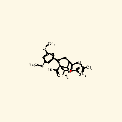 COc1cc(OC)cc(C2CC3C(OC(C)=O)CC(C)C2(C(=O)O)C3OC(C)=O)c1